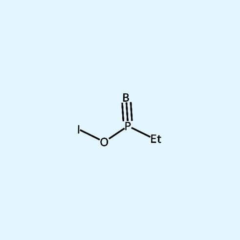 B#P(CC)OI